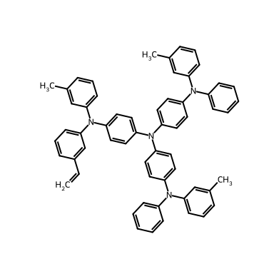 C=Cc1cccc(N(c2ccc(N(c3ccc(N(c4ccccc4)c4cccc(C)c4)cc3)c3ccc(N(c4ccccc4)c4cccc(C)c4)cc3)cc2)c2cccc(C)c2)c1